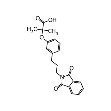 CC(C)(Oc1cccc(CCCN2C(=O)c3ccccc3C2=O)c1)C(=O)O